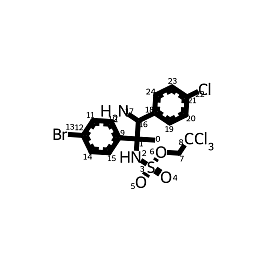 CC(NS(=O)(=O)OCC(Cl)(Cl)Cl)(c1ccc(Br)cc1)C(N)c1ccc(Cl)cc1